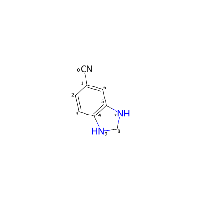 N#Cc1ccc2c(c1)NCN2